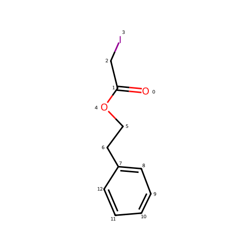 O=C(CI)OCCc1ccccc1